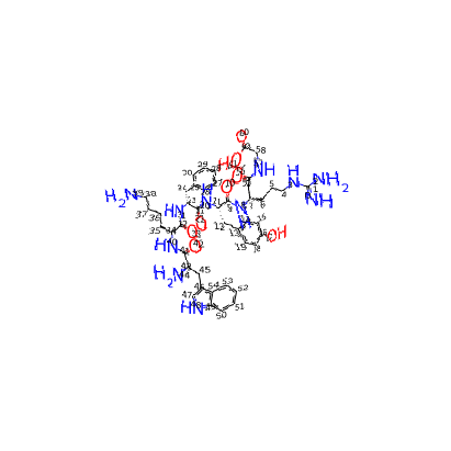 N=C(N)NCCC[C@@H](NC(=O)[C@H](Cc1ccc(O)cc1)NC(=O)[C@@H](Cc1ccccc1)NC(=O)[C@H](CCCCN)NC(=O)[C@H](N)Cc1c[nH]c2ccccc12)C(=O)NCC(=O)O